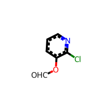 O=COc1cccnc1Cl